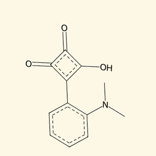 CN(C)c1ccccc1-c1c(O)c(=O)c1=O